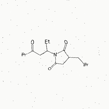 CCC(CC(=O)C(C)C)N1C(=O)CC(CC(C)C)C1=O